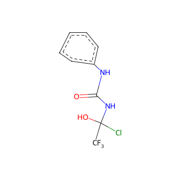 O=C(Nc1ccccc1)NC(O)(Cl)C(F)(F)F